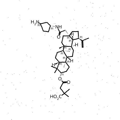 C=C(C)[C@@H]1CC[C@]2(CC(=O)N[C@@H]3CC[C@@H](N)C3)CC[C@]3(C)[C@H](CC[C@@H]4[C@@]5(C)CC[C@H](OC(=O)CC(C)(C)C(=O)O)C(C)(C)[C@@H]5CC[C@]43C)[C@@H]12